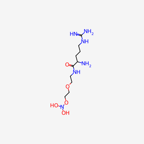 N=C(N)NCCCC(N)C(=O)NCCOCCON(O)O